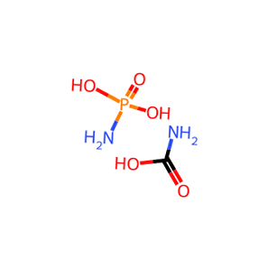 NC(=O)O.NP(=O)(O)O